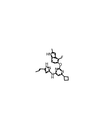 C/C=C/c1cc(Nc2cc(C3CCC3)nc(Oc3ccc4[nH]c(C)cc4c3F)n2)n[nH]1